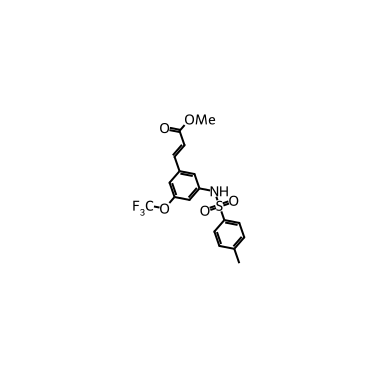 COC(=O)C=Cc1cc(NS(=O)(=O)c2ccc(C)cc2)cc(OC(F)(F)F)c1